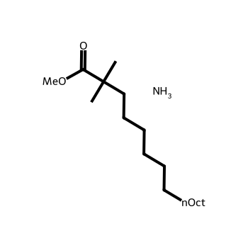 CCCCCCCCCCCCCCC(C)(C)C(=O)OC.N